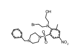 Cc1cc([N+](=O)[O-])cc(S(=O)(=O)N2CCN(Cc3ccccc3)CC2)c1N(CCO)CCBr